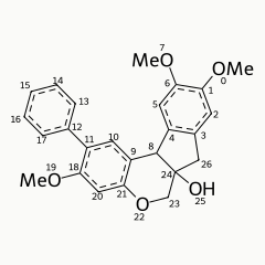 COc1cc2c(cc1OC)C1c3cc(-c4ccccc4)c(OC)cc3OCC1(O)C2